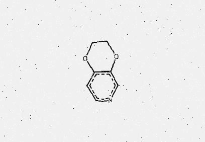 [c]1nccc2c1OCCO2